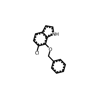 Clc1ccc2cc[nH]c2c1OCc1ccccc1